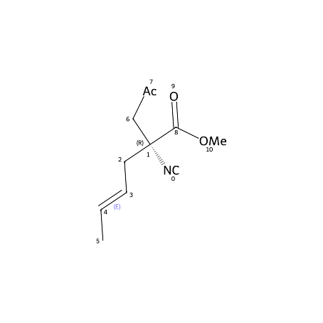 [C-]#[N+][C@](C/C=C/C)(CC(C)=O)C(=O)OC